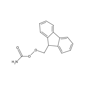 NC(=O)OOCC1c2ccccc2-c2ccccc21